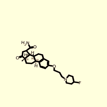 C[C@]12CC[C@@H]3c4ccc(OCCCN5CCC(F)CC5)cc4CC[C@H]3[C@@H]1C(C(N)=O)CC2=O